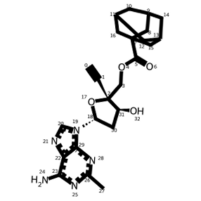 C#C[C@]1(COC(=O)C23CC4CC(CC(C4)C2)C3)O[C@@H](n2cnc3c(N)nc(C)nc32)C[C@@H]1O